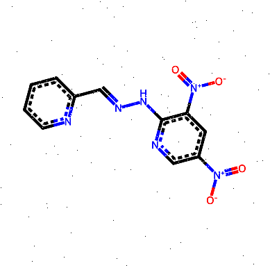 O=[N+]([O-])c1cnc(NN=Cc2ccccn2)c([N+](=O)[O-])c1